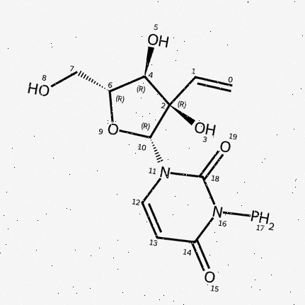 C=C[C@@]1(O)[C@H](O)[C@@H](CO)O[C@H]1n1ccc(=O)n(P)c1=O